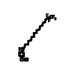 O=Cc1ccc(NCCCCCCCCCCCCCCCCC(F)(F)C(F)(F)F)cc1